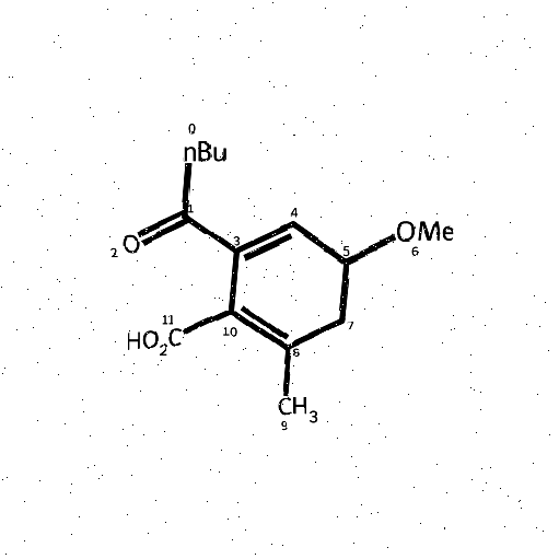 CCCCC(=O)C1=CC(OC)CC(C)=C1C(=O)O